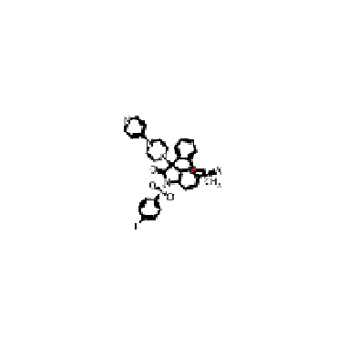 CCOc1ccccc1C1(N2CCN(c3ccncc3)CC2)C(=O)N(S(=O)(=O)c2ccc(F)cc2)c2ccc(C#N)cc21